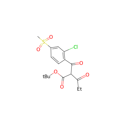 CCC(=O)C(C(=O)OC(C)(C)C)C(=O)c1ccc(S(C)(=O)=O)cc1Cl